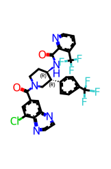 O=C(N[C@@H]1CCN(C(=O)c2cc(Cl)c3nccnc3c2)C[C@H]1c1ccc(C(F)(F)F)cc1)c1ncccc1C(F)(F)F